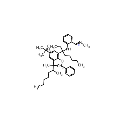 CCCCCC(C)C(C)(C)c1cc(C(C)(C)C)cc(C(CC)(CCCCC)Pc2ccccc2/C=N/C)c1OCc1ccccc1